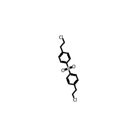 O=S(=O)(c1ccc(CCCl)cc1)c1ccc(CCCl)cc1